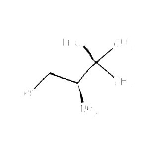 CC(C)C[C@H](N)C(C)(C)C